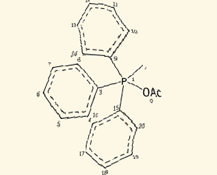 CC(=O)OP(C)(c1ccccc1)(c1ccccc1)c1ccccc1